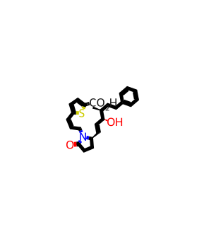 C[C@@H](CCc1ccccc1)[C@H](O)/C=C/[C@H]1CCC(=O)N1C/C=C\c1ccc(C(=O)O)s1